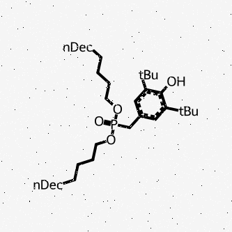 CCCCCCCCCCCCCCOP(=O)(Cc1cc(C(C)(C)C)c(O)c(C(C)(C)C)c1)OCCCCCCCCCCCCCC